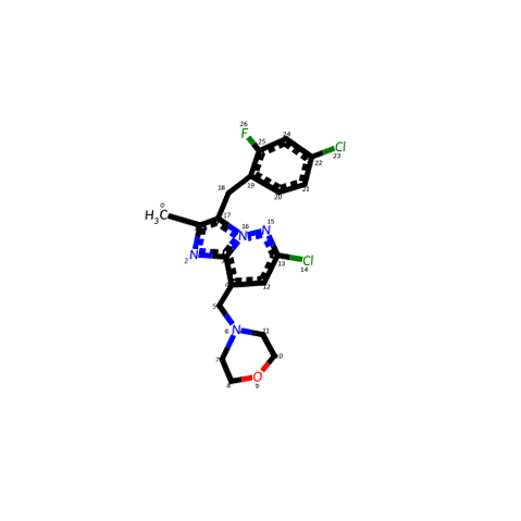 Cc1nc2c(CN3CCOCC3)cc(Cl)nn2c1Cc1ccc(Cl)cc1F